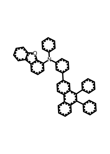 c1ccc(-c2c(-c3ccccc3)c3cc(-c4cccc(N(c5ccccc5)c5cccc6c5oc5ccccc56)c4)ccc3c3ccccc23)cc1